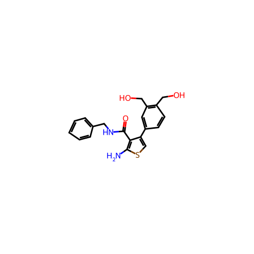 Nc1scc(-c2ccc(CO)c(CO)c2)c1C(=O)NCc1ccccc1